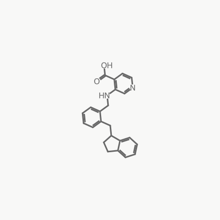 O=C(O)c1ccncc1NCc1ccccc1CC1CCc2ccccc21